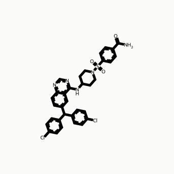 NC(=O)c1ccc(S(=O)(=O)N2CCC(Nc3ncnc4ccc(C(c5ccc(Cl)cc5)c5ccc(Cl)cc5)cc34)CC2)cc1